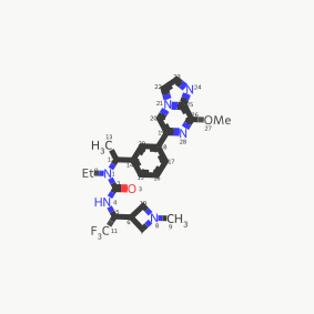 CCN(C(=O)NC(C1CN(C)C1)C(F)(F)F)C(C)c1cccc(-c2cn3ccnc3c(OC)n2)c1